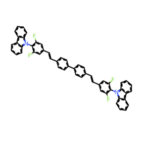 Fc1cc(C=Cc2ccc(-c3ccc(C=Cc4cc(F)c(-n5c6ccccc6c6ccccc65)c(F)c4)cc3)cc2)cc(F)c1-n1c2ccccc2c2ccccc21